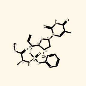 C=C[C@@H](O[P@@](=O)(N[C@@H](C)C(=O)OC(C)C)Oc1ccccc1)[C@H]1O[C@@H](n2cc(F)c(=O)[nH]c2=O)C[C@@H]1O